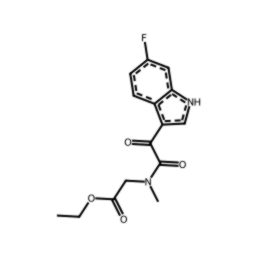 CCOC(=O)CN(C)C(=O)C(=O)c1c[nH]c2cc(F)ccc12